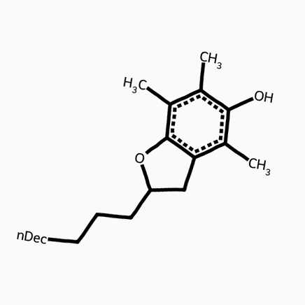 CCCCCCCCCCCCCC1Cc2c(C)c(O)c(C)c(C)c2O1